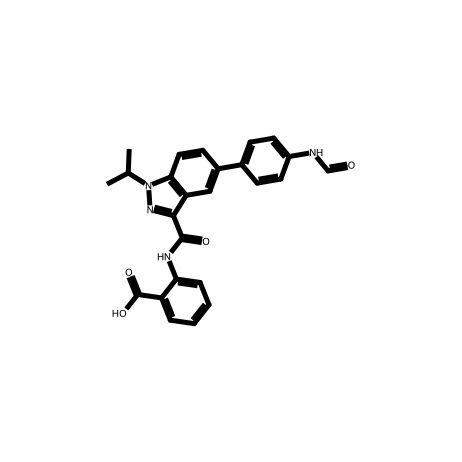 CC(C)n1nc(C(=O)Nc2ccccc2C(=O)O)c2cc(-c3ccc(NC=O)cc3)ccc21